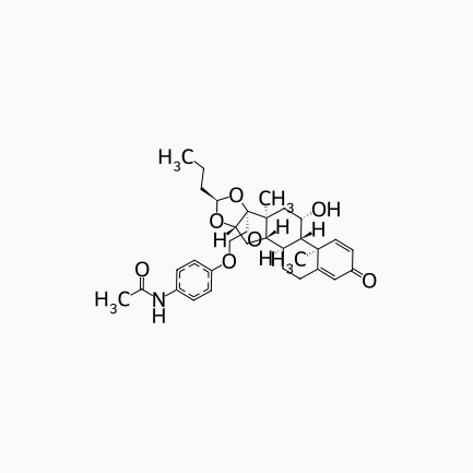 CCC[C@@H]1O[C@H]2C[C@H]3[C@@H]4CCC5=CC(=O)C=C[C@]5(C)[C@H]4[C@@H](O)C[C@]3(C)[C@]2(C(=O)COc2ccc(NC(C)=O)cc2)O1